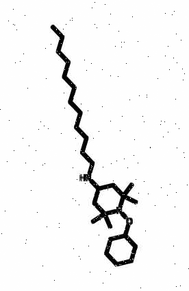 CCCCCCCCCCCCNC1CC(C)(C)N(OC2CCCCC2)C(C)(C)C1